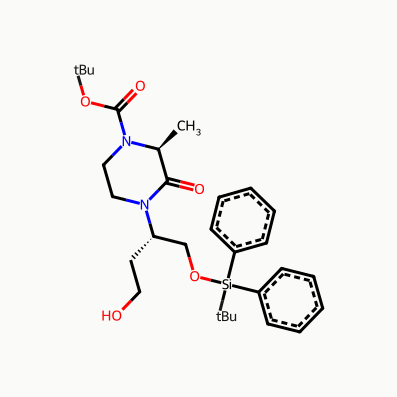 C[C@H]1C(=O)N([C@@H](CCO)CO[Si](c2ccccc2)(c2ccccc2)C(C)(C)C)CCN1C(=O)OC(C)(C)C